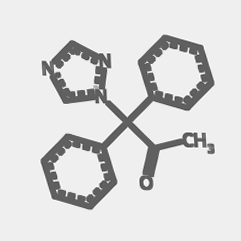 CC(=O)C(c1ccccc1)(c1ccccc1)n1cncn1